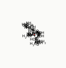 COCC[C@H]1[C@@H](O)[C@H](n2c[n+](C)c3c(=O)[nH]c(N)nc32)O[C@@H]1COP(=O)(O)OP(=O)(O)OP(=O)(O)OCC1O[C@@H](n2cnc3c(N)ncnc32)C[C@@H]1OP(=O)(O)OC[C@H]1O[C@@H](n2cnc3c(=O)[nH]c(N)nc32)[C@H](O)[C@@H]1O